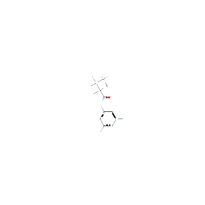 CC1(C(=O)Nc2cc(Cl)cc(Cl)c2)CC(F)(F)C1(C)C(=O)O